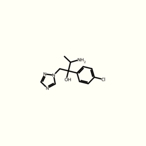 CC(N)C(O)(Cn1cncn1)c1ccc(Cl)cc1